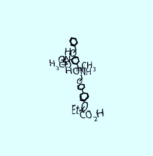 CCC(Oc1ccc(-c2ccc(OCCN[C@@H](C)[C@H](O)c3ccc(OCc4ccccc4)c(NS(C)(=O)=O)c3)cc2)cc1)C(=O)O